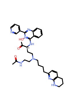 CC(=O)NCCN(CCCCc1ccc2c(n1)NCCC2)CC[C@H](Nc1c2ccccc2nc(-c2cccnc2)[n+]1O)C(C)=O